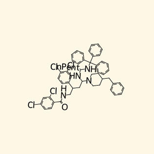 CCCCCC(NC(CC(CNC(=O)c1ccc(Cl)cc1Cl)c1ccc(Cl)c(Cl)c1)N1CCC(Cc2ccccc2)CC1)NC(c1ccccc1)(c1ccccc1)c1ccccc1